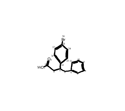 O=C(O)CC(Cc1ccccc1)c1ccc(Br)cc1